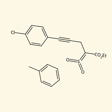 CCOC(=O)C(CC#Cc1ccc(Cl)cc1)=S(=O)=O.Cc1ccccc1